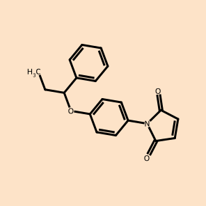 CCC(Oc1ccc(N2C(=O)C=CC2=O)cc1)c1ccccc1